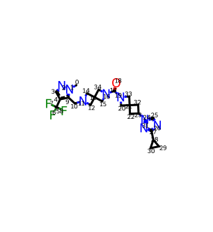 Cn1ncc(C(F)(F)F)c1CN1CC2(C1)CN(C(=O)N1CC3(CC(n4cnc(C5CC5)n4)C3)C1)C2